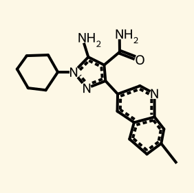 Cc1ccc2cc(-c3nn(C4CCCCC4)c(N)c3C(N)=O)cnc2c1